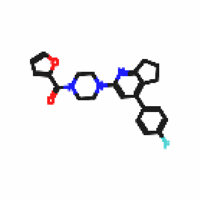 O=C(c1ccco1)N1CCN(c2cc(-c3ccc(F)cc3)c3c(n2)CCC3)CC1